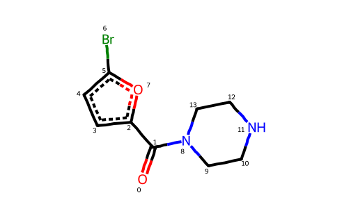 O=C(c1ccc(Br)o1)N1CCNCC1